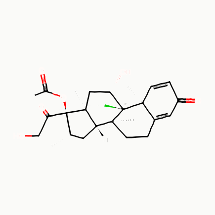 CC(=O)O[C@]1(C(=O)CO)[C@@H](C)C[C@H]2[C@@H]3CCC4=CC(=O)C=C[C@]4(C)[C@@]3(Cl)[C@@H](O)C[C@@]21C